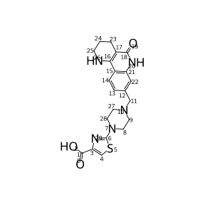 O=C(O)c1csc(N2CCN(Cc3ccc4c5c(c(=O)[nH]c4c3)CCCN5)CC2)n1